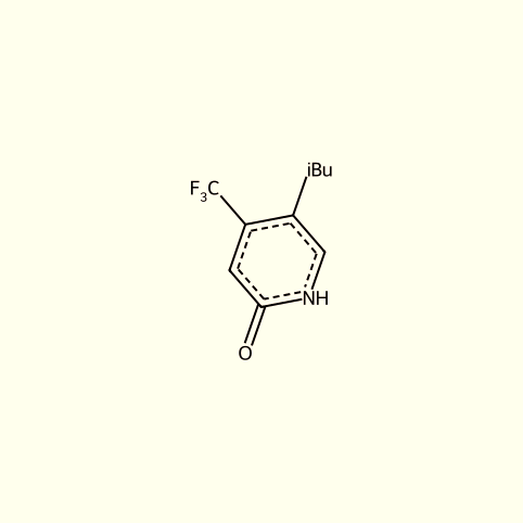 CCC(C)c1c[nH]c(=O)cc1C(F)(F)F